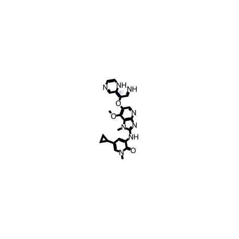 COc1c(O/C(C=N)=C2\C=NC=CN2)cnc2nc(Nc3cc(C4CC4)cn(C)c3=O)n(C)c12